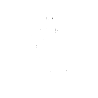 CCCCCNC(=N)n1cc(C2=CCCC=C2)c(-c2ccc(Cl)cc2)n1.c1ccncc1